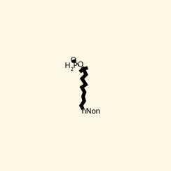 CCCCCCCCCCCCCCCCCC(C)(C)O[PH2]=O